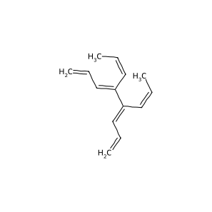 C=C/C=C(\C=C/C)C(/C=C\C)=C/C=C